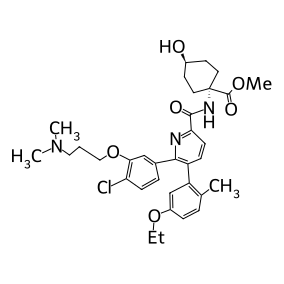 CCOc1ccc(C)c(-c2ccc(C(=O)N[C@]3(C(=O)OC)CC[C@@H](O)CC3)nc2-c2ccc(Cl)c(OCCCN(C)C)c2)c1